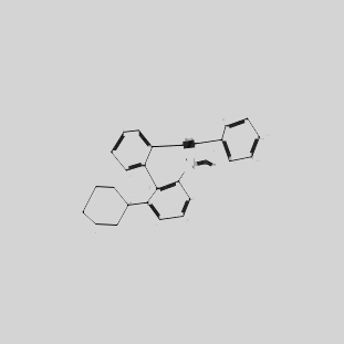 S=C=Nc1cccc(C2CCCCC2)c1-c1ccccc1C#Cc1ccccc1